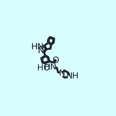 O=C(NCCN1CCNCC1)c1cc(-c2n[nH]c3c2Cc2ccccc2-3)ccc1O